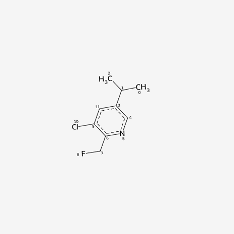 CC(C)c1cnc(CF)c(Cl)c1